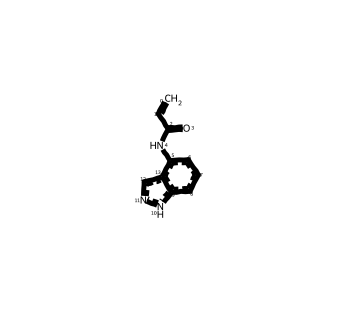 C=CC(=O)Nc1cccc2[nH]ncc12